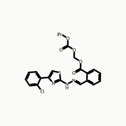 CC(C)OC(=O)OCOC(=O)c1ccccc1/C=N/Nc1nc(-c2ccccc2Cl)cs1